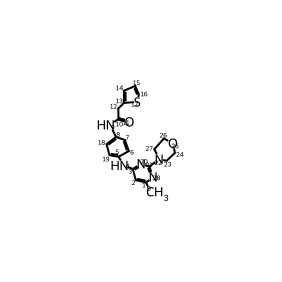 Cc1cc(Nc2ccc(NC(=O)Cc3cccs3)cc2)nc(N2CCOCC2)n1